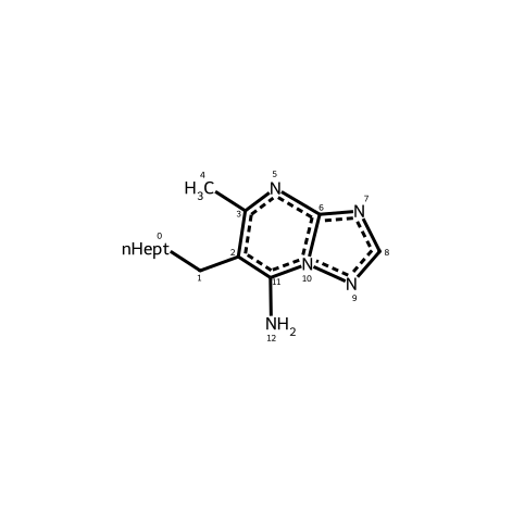 CCCCCCCCc1c(C)nc2ncnn2c1N